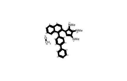 CNC1=CC(c2ccc3ccccc3c2-c2ccc(-c3ccccc3)cc2)C(NC)=C1NC.C[O]